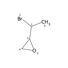 CC(Br)C1CO1